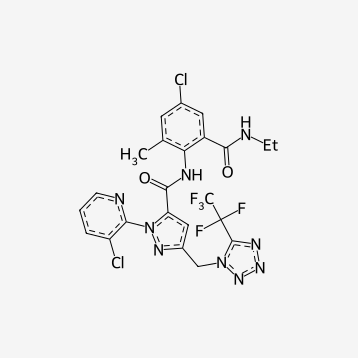 CCNC(=O)c1cc(Cl)cc(C)c1NC(=O)c1cc(Cn2nnnc2C(F)(F)C(F)(F)F)nn1-c1ncccc1Cl